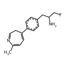 CC1=CC=C(c2ccc(CC(N)CF)cc2)CC=N1